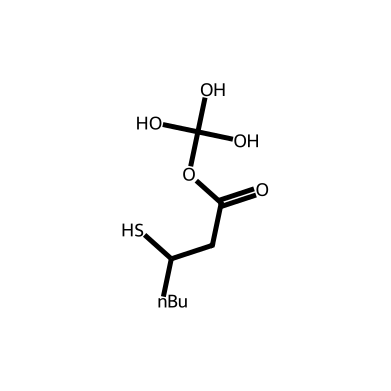 CCCCC(S)CC(=O)OC(O)(O)O